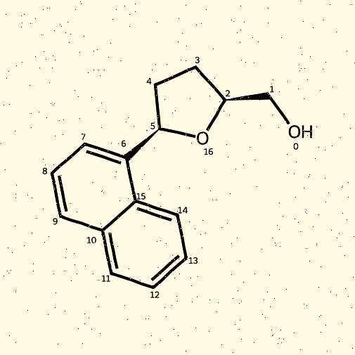 OC[C@@H]1CC[C@H](c2cccc3ccccc23)O1